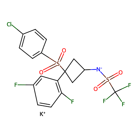 O=S(=O)([N-]C1CC(c2cc(F)ccc2F)(S(=O)(=O)c2ccc(Cl)cc2)C1)C(F)(F)F.[K+]